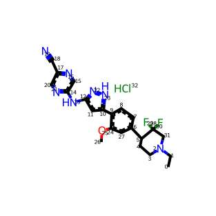 CCN1CCC(c2ccc(-c3cc(Nc4cnc(C#N)cn4)n[nH]3)c(OC)c2)C(F)(F)C1.Cl